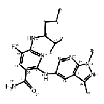 CCCC(Nc1nc(Nc2cnc3c(c2)c(C)nn3C)c(C(N)=O)cc1F)C(C)C